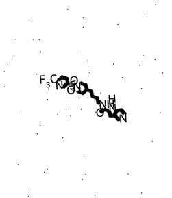 O=C(NCCCCC1CCN(S(=O)(=O)c2ccc(C(F)(F)F)nc2)CC1)c1cc2cnccc2[nH]1